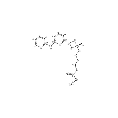 CC(C)(C)OC(=O)COCCC[C@]1(C)C[C@H](c2cccc(Oc3ccccc3)c2)C1